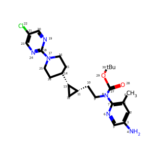 Cc1cc(N)cnc1N(CC[C@@H]1C[C@@H]1C1CCN(c2ncc(Cl)cn2)CC1)C(=O)OC(C)(C)C